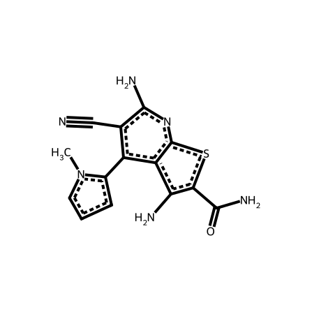 Cn1cccc1-c1c(C#N)c(N)nc2sc(C(N)=O)c(N)c12